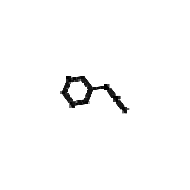 [N-]=[N+]=Nc1[c]n[c]nc1